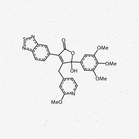 COc1cc(CC2=C(c3ccc4nsnc4c3)C(=O)OC2(O)c2cc(OC)c(OC)c(OC)c2)ccn1